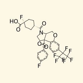 O=C([C@H]1CC[C@](F)(C(=O)O)CC1)N1CCC2(S(=O)(=O)c3ccc(F)cc3)c3ccc(C(F)(C(F)(F)F)C(F)(F)F)cc3OCC12